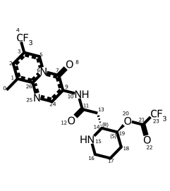 Cc1cc(C(F)(F)F)cn2c(=O)c(NC(=O)C[C@H]3NCCC[C@@H]3OC(=O)C(F)(F)F)cnc12